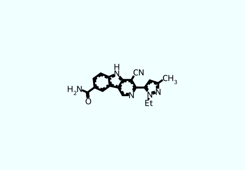 CCn1nc(C)cc1-c1ncc2c([nH]c3ccc(C(N)=O)cc32)c1C#N